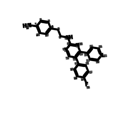 Nc1ccc(CCNc2ncc(-c3ccc(F)cc3)c(-c3ccncc3)n2)cc1